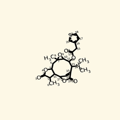 CC1C(=O)OC2CC3(C)OC3C(OC(=O)Cc3ccsc3)C(N(C)C)C3=CC(OC3=O)C21